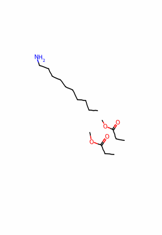 CCC(=O)OC.CCC(=O)OC.CCCCCCCCCCN